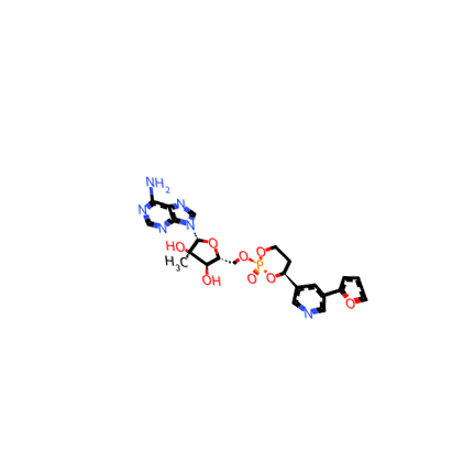 C[C@@]1(O)[C@H](O)[C@@H](CO[P@@]2(=O)OCC[C@@H](c3cncc(-c4ccco4)c3)O2)O[C@H]1n1cnc2c(N)ncnc21